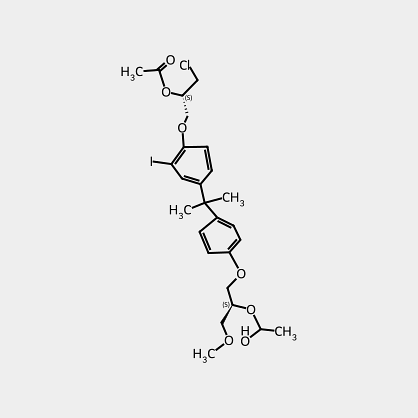 COC[C@@H](COc1ccc(C(C)(C)c2ccc(OC[C@@H](CCl)OC(C)=O)c(I)c2)cc1)OC(C)O